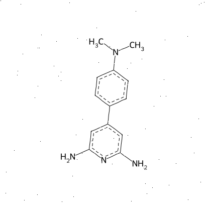 CN(C)c1ccc(-c2cc(N)nc(N)c2)cc1